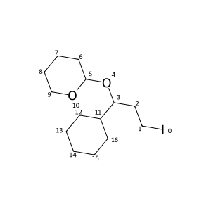 ICCC(OC1CCCCO1)C1CCCCC1